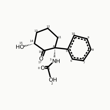 O=C(O)N[C@@]1(c2ccccc2)CCC[C@@H](O)C1=O